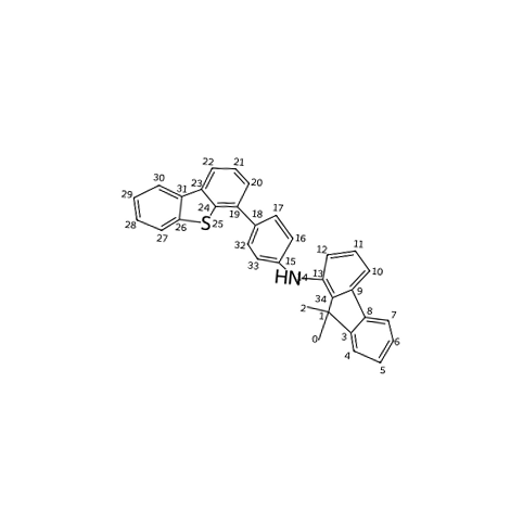 CC1(C)c2ccccc2-c2cccc(Nc3ccc(-c4cccc5c4sc4ccccc45)cc3)c21